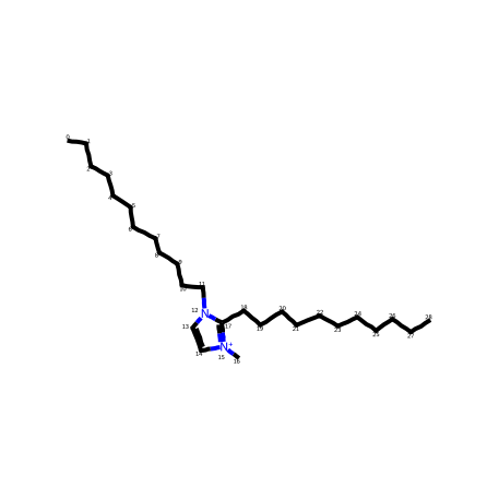 CCCCCCCCCCCCn1cc[n+](C)c1CCCCCCCCCCC